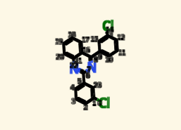 Clc1cccc(-c2nc(-c3cccc(Cl)c3)c3ccccc3n2)c1